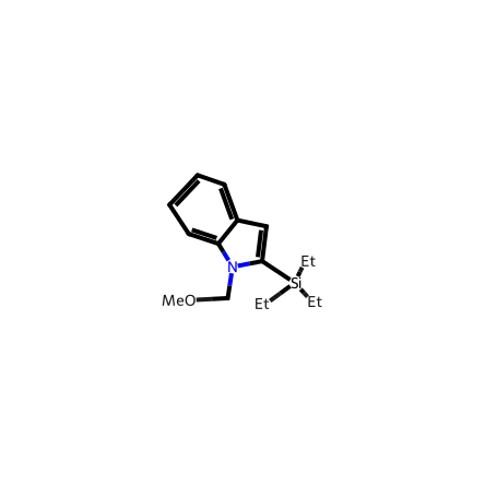 CC[Si](CC)(CC)c1cc2ccccc2n1COC